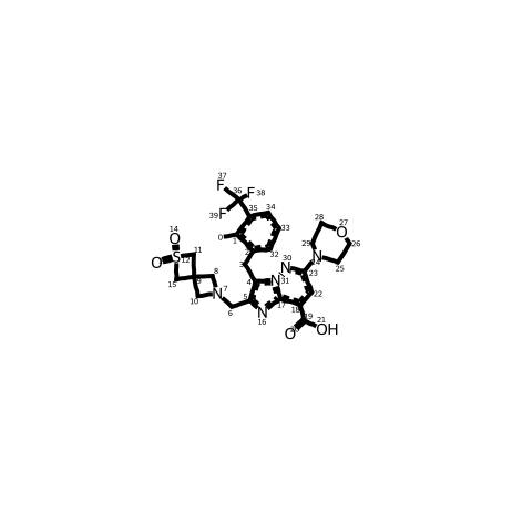 Cc1c(Cc2c(CN3CC4(C3)CS(=O)(=O)C4)nc3c(C(=O)O)cc(N4CCOCC4)nn23)cccc1C(F)(F)F